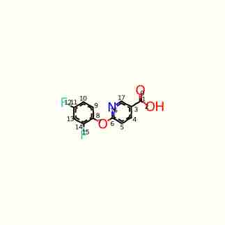 O=C(O)c1ccc(Oc2ccc(F)cc2F)nc1